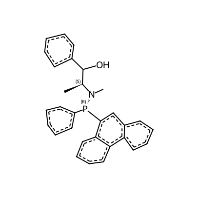 C[C@@H](C(O)c1ccccc1)N(C)[P@@](c1ccccc1)c1cc2ccccc2c2ccccc12